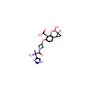 CC(N)(C(=O)N1CC(Oc2ccc3c(c2C(=O)O)OB(O)[C@@H]2CC32)C1)c1c[nH]cn1